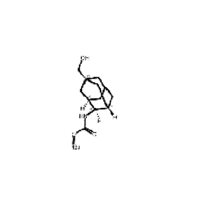 CC(C)(C)OC(=O)N[C@H]1[C@@H]2CC3C[C@H]1C[C@@](CO)(C3)C2